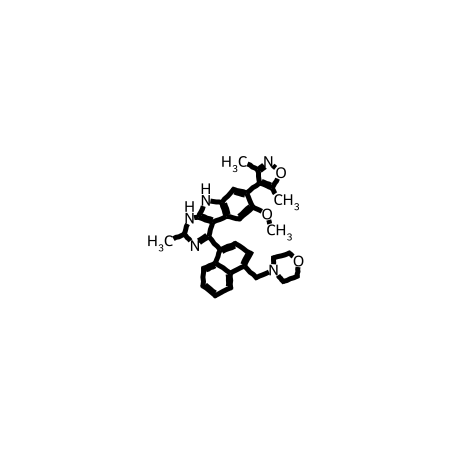 COc1cc2c3c([nH]c2cc1-c1c(C)noc1C)NC(C)N=C3c1ccc(CN2CCOCC2)c2ccccc12